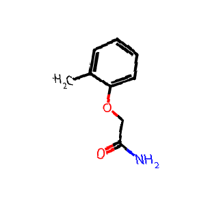 [CH2]c1ccccc1OCC(N)=O